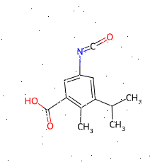 Cc1c(C(=O)O)cc(N=C=O)cc1C(C)C